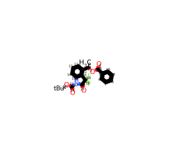 C[C@H](OC(=O)c1ccccc1)c1cccc2c1C(F)(F)C(=O)N2C(=O)OC(C)(C)C